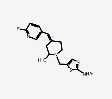 CC(=O)Nc1ncc(CN2CC/C(=C/c3ccc(F)nc3)CC2C)s1